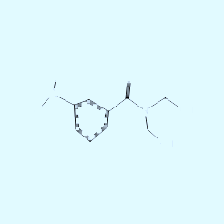 CCN(CC)C(=O)c1cccc(B(O)O)c1